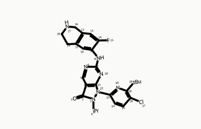 CC(C)n1c(=O)c2cnc(Nc3cc4c(cc3F)CNCC4)nc2n1-c1ccc(Cl)c(C(C)(C)C)n1